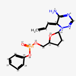 C=C/C=C1/C(N)=NC=NN1[C@H]1CCC(CO[PH](=O)Oc2ccccc2)O1